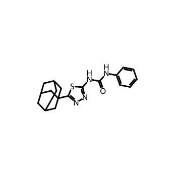 O=C(Nc1ccccc1)Nc1nnc(C23CC4CC(CC(C4)C2)C3)s1